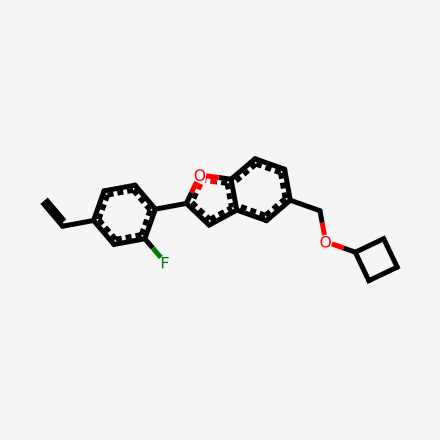 C=Cc1ccc(-c2cc3cc(COC4CCC4)ccc3o2)c(F)c1